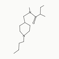 CCCCN1CCC(CN(C)C(=O)C(C)CC)CC1